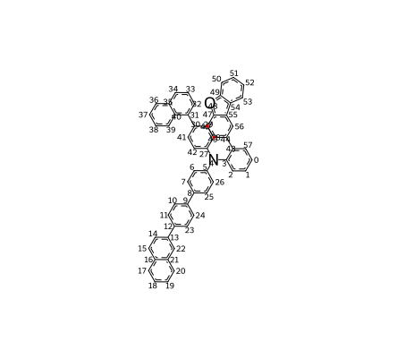 c1ccc(N(c2ccc(-c3ccc(-c4ccc5ccccc5c4)cc3)cc2)c2ccc(-c3cccc4ccccc34)cc2)c(-c2ccc3oc4ccccc4c3c2)c1